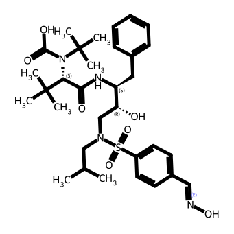 CC(C)CN(C[C@@H](O)[C@H](Cc1ccccc1)NC(=O)[C@@H](N(C(=O)O)C(C)(C)C)C(C)(C)C)S(=O)(=O)c1ccc(/C=N/O)cc1